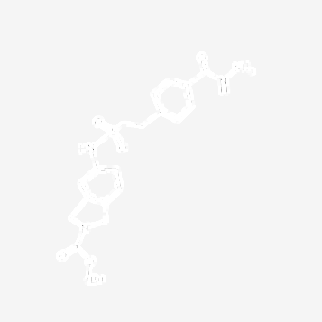 CC(C)(C)OC(=O)N1Cc2ccc(NS(=O)(=O)CCc3ccc(C(=O)NN)cc3)cc2C1